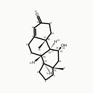 C[C@@]12CCC[C@H]1[C@@H]1CCC3=CC(=O)CC[C@]3(C)[C@H]1[C@@H](O)C2